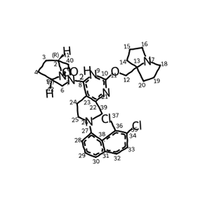 O=C(O)N1[C@@H]2CC[C@H]1CN(c1nc(OCC34CCCN3CCC4)nc3c1CCN(c1cccc4ccc(Cl)c(Cl)c14)C3)C2